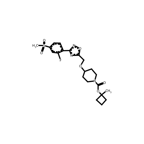 CC1(OC(=O)N2CCC(OCc3nc(-c4ccc(S(C)(=O)=O)cc4F)no3)CC2)CCC1